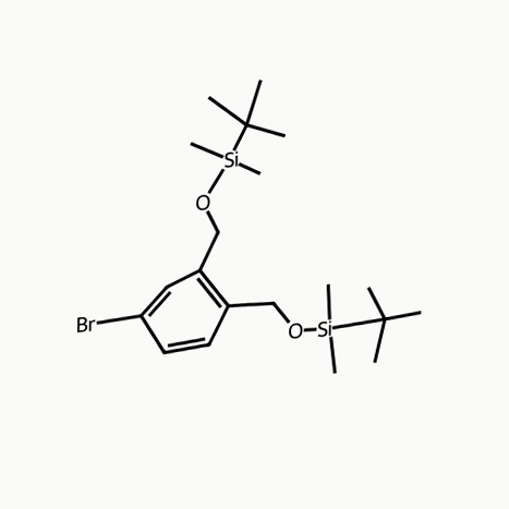 CC(C)(C)[Si](C)(C)OCc1ccc(Br)cc1CO[Si](C)(C)C(C)(C)C